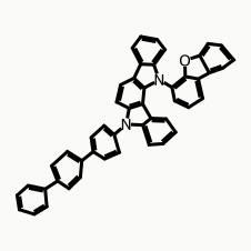 c1ccc(-c2ccc(-c3ccc(-n4c5ccccc5c5c4ccc4c6ccccc6n(-c6cccc7c6oc6ccccc67)c45)cc3)cc2)cc1